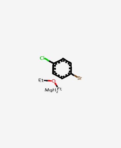 CCOCC.Clc1ccc(Br)cc1.[MgH2]